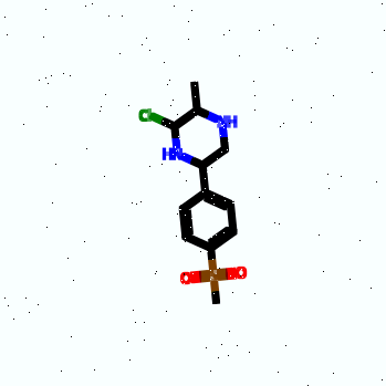 CC1NCC(c2ccc(S(C)(=O)=O)cc2)NC1Cl